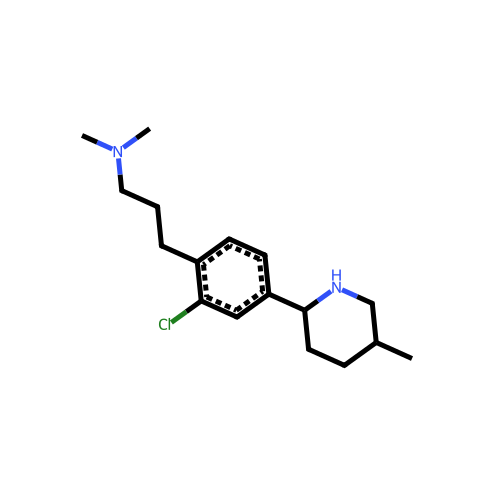 CC1CCC(c2ccc(CCCN(C)C)c(Cl)c2)NC1